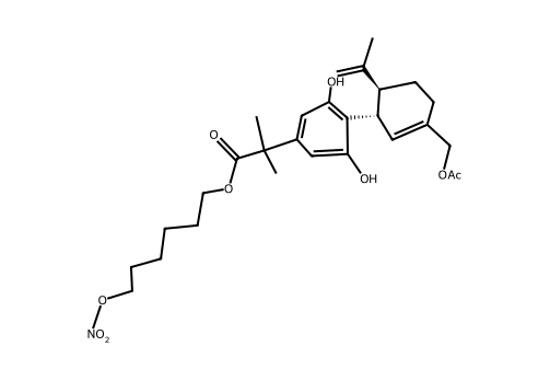 C=C(C)[C@H]1CCC(COC(C)=O)=C[C@@H]1c1c(O)cc(C(C)(C)C(=O)OCCCCCCO[N+](=O)[O-])cc1O